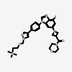 C[Si](C)(C)CCOCn1cc(-c2ccc(-n3cnc4c(F)cc(N5CC(C(=O)N6CCOCC6)C5)cc43)cc2)cn1